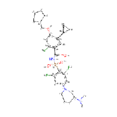 CN(C)C1CCCN(c2cc(F)c(S(=O)(=O)NC(=O)c3cc(C4CC4)c(OCC4CCCC4)cc3F)c(F)c2)C1